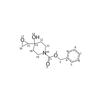 O=C(OCc1ccccc1)N1CCC(O)(C2CO2)CC1